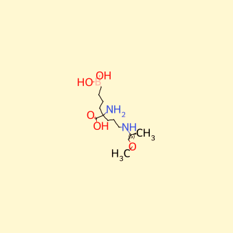 COC[C@H](C)NCCCC(N)(CCCCB(O)O)C(=O)O